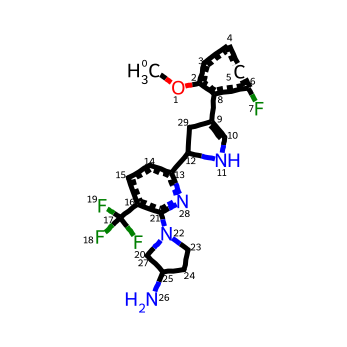 COc1cccc(F)c1C1=CNC(c2ccc(C(F)(F)F)c(N3CCC(N)C3)n2)C1